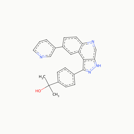 CC(C)(O)c1ccc(-c2n[nH]c3cnc4ccc(-c5cccnc5)cc4c23)cc1